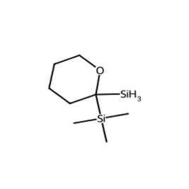 C[Si](C)(C)C1([SiH3])CCCCO1